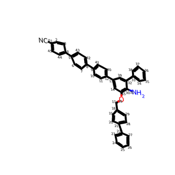 N#Cc1ccc(-c2ccc(-c3ccc(-c4cc(OCc5ccc(-c6ccccc6)cc5)c(N)c(-c5ccccc5)c4)cc3)cc2)cc1